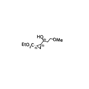 CCOC(=O)[C@H]1C[C@@H]1[C@@H](O)CCOC